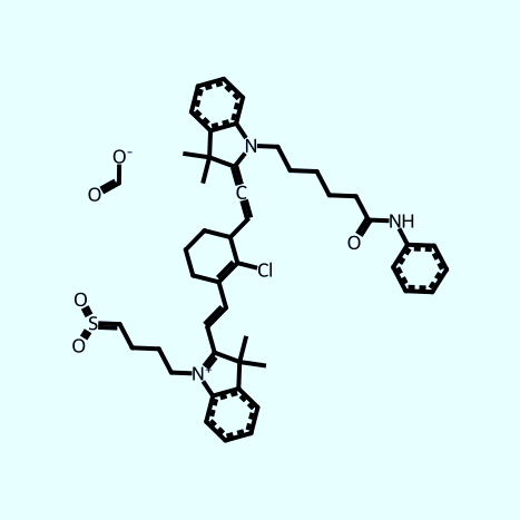 CC1(C)C(=C=CC2CCCC(/C=C/C3=[N+](CCCC=S(=O)=O)c4ccccc4C3(C)C)=C2Cl)N(CCCCCC(=O)Nc2ccccc2)c2ccccc21.O=C[O-]